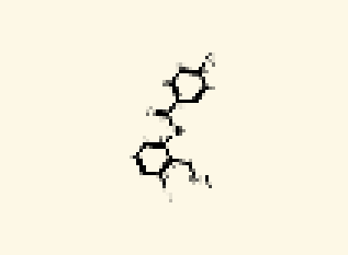 NCc1c(Cl)cccc1NC(=O)c1ccc(Cl)cc1